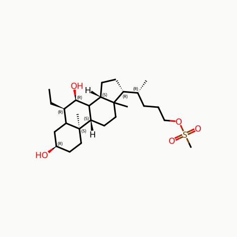 CC[C@@H]1C2C[C@H](O)CC[C@]2(C)[C@H]2CCC3(C)[C@@H]([C@H](C)CCCOS(C)(=O)=O)CC[C@H]3C2[C@@H]1O